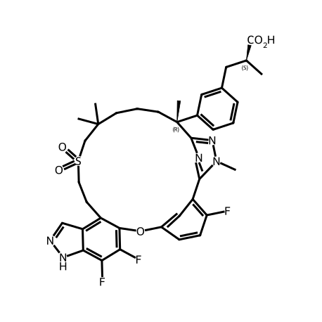 C[C@@H](Cc1cccc([C@@]2(C)CCCC(C)(C)CS(=O)(=O)CCc3c(c(F)c(F)c4[nH]ncc34)Oc3ccc(F)c(c3)-c3nc2nn3C)c1)C(=O)O